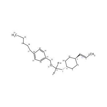 C/C=C/[C@H]1CC[C@H](CC(F)(F)OCc2ccc(CCCCC)cc2)CC1